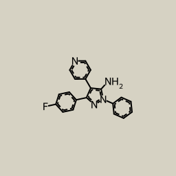 Nc1c(-c2ccncc2)c(-c2ccc(F)cc2)nn1-c1ccccc1